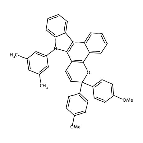 COc1ccc(C2(c3ccc(OC)cc3)C=Cc3c(c4ccccc4c4c5ccccc5n(-c5cc(C)cc(C)c5)c34)O2)cc1